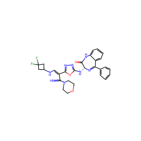 N=C(/C(=C\NC1CC(F)(F)C1)c1nnc(N[C@H]2N=C(c3ccccc3)c3ccccc3NC2=O)o1)N1CCOCC1